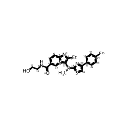 CCc1nc2ccc(C(=O)NCCO)cn2c1N(C)c1nc(-c2ccc(F)cc2)cs1